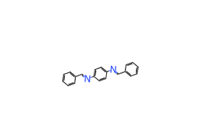 C(=Nc1ccc(N=Cc2ccccc2)cc1)c1ccccc1